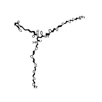 CCCOCCOCCOCCOCCOCCOCCNC(=O)CC(CC(=O)NCCOCCOCCOCCOCCOCCOCC)NC(=O)CCCCCN1C(=O)C=CC1=O